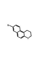 Brc1ccc2c3c(ccc2c1)OCCC3